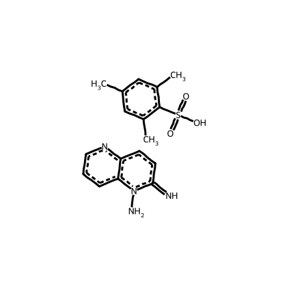 Cc1cc(C)c(S(=O)(=O)O)c(C)c1.N=c1ccc2ncccc2n1N